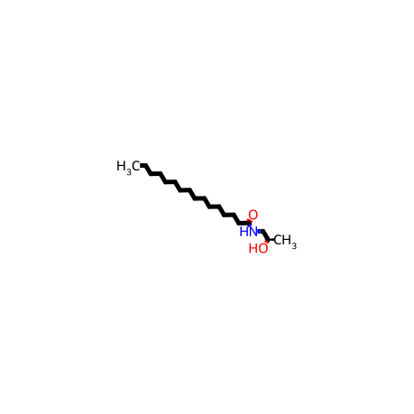 CCCCCCCCCCCCCCCC(=O)NC[C@@H](C)O